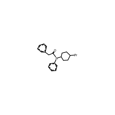 CC(C)C1CCC(N(C(=O)Cc2ccccc2)c2ccccc2)CC1